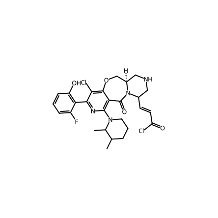 CC1CCCN(c2nc(-c3c(O)cccc3F)c(Cl)c3c2C(=O)N2C(/C=C/C(=O)Cl)CNC[C@@H]2CO3)C1C